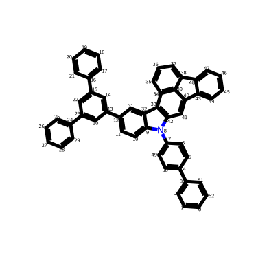 c1ccc(-c2ccc(-n3c4ccc(-c5cc(-c6ccccc6)cc(-c6ccccc6)c5)cc4c4c5cccc6c5c(cc43)-c3ccccc3-6)cc2)cc1